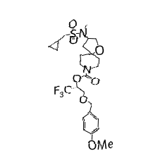 COc1ccc(COC[C@@H](OC(=O)N2CCC3(CC2)C[C@@H](N(C)S(=O)(=O)CC2CC2)CO3)C(F)(F)F)cc1